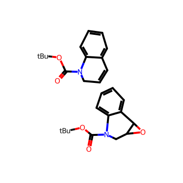 CC(C)(C)OC(=O)N1CC2OC2c2ccccc21.CC(C)(C)OC(=O)N1CC=Cc2ccccc21